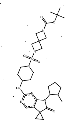 CC1CCCC1N1C(=O)C2(CC2)c2cnc(NC3CCN(S(=O)(=O)N4CC5(CN(C(=O)OC(C)(C)C)C5)C4)CC3)nc21